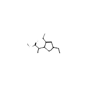 CCC1CC(CC)C(C(C)C(=O)OC)C1